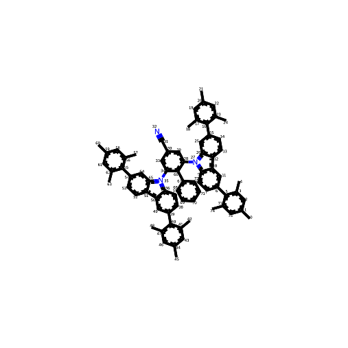 Cc1cc(C)c(-c2ccc3c(c2)c2ccc(-c4c(C)cc(C)cc4C)cc2n3-c2cc(C#N)cc(-n3c4ccc(-c5c(C)cc(C)cc5C)cc4c4ccc(-c5c(C)cc(C)cc5C)cc43)c2-c2ccccc2)c(C)c1